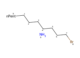 CCCCCCCCCCCCBr.N